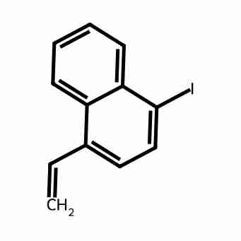 C=Cc1ccc(I)c2ccccc12